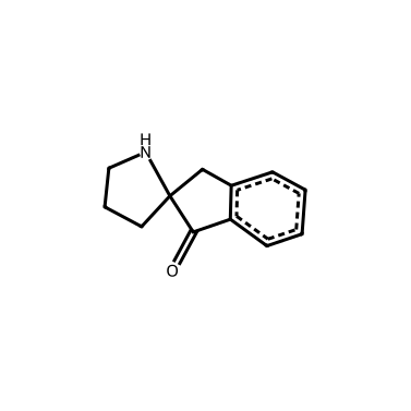 O=C1c2ccccc2CC12CCCN2